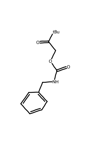 CC(C)(C)C(=O)COC(=O)NCc1ccccc1